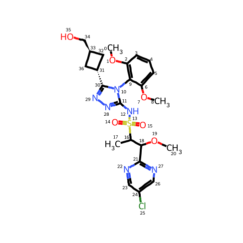 COc1cccc(OC)c1-n1c(NS(=O)(=O)C(C)C(OC)c2ncc(Cl)cn2)nnc1[C@H]1C[C@H](CO)C1